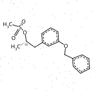 C[C@@H](Cc1cccc(OCc2ccccc2)c1)OS(C)(=O)=O